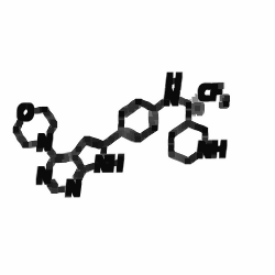 FC(F)(F)[C@@H](Nc1ccc(-c2cc3c(N4CCOCC4)ncnc3[nH]2)cc1)C1CCCNC1